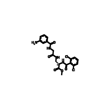 COC(=O)[C@H](CNC(=O)CNC(=O)c1cccc(N)c1)NC(=O)c1c(Cl)cccc1Cl